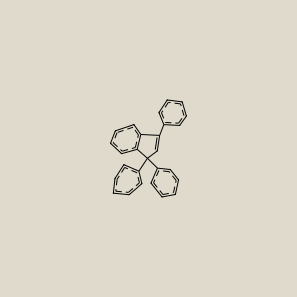 C1=C(c2ccccc2)c2ccccc2C1(c1ccccc1)c1ccccc1